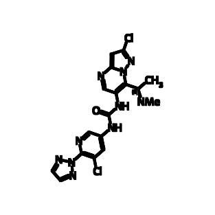 CN[C@H](C)c1c(NC(=O)Nc2cnc(-n3nccn3)c(Cl)c2)cnc2cc(Cl)nn12